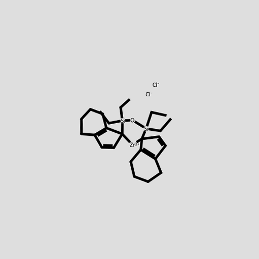 CC[Si]1(CC)O[Si](CC)(CC)[C]2(C=CC3=C2CCCC3)[Zr+2][C]12C=CC1=C2CCCC1.[Cl-].[Cl-]